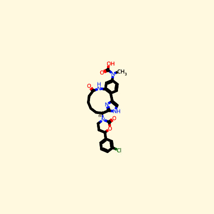 CN(C(=O)O)c1ccc2c(c1)NC(=O)CCCC[C@H](N1CCC(c3cccc(Cl)c3)OC1=O)c1nc-2c[nH]1